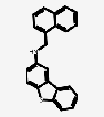 c1ccc2c(CNc3ccc4sc5ccccc5c4c3)cccc2c1